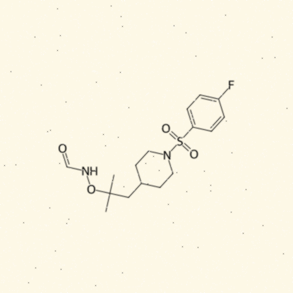 CC(C)(CC1CCN(S(=O)(=O)c2ccc(F)cc2)CC1)ONC=O